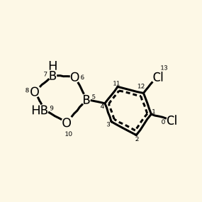 Clc1ccc(B2OBOBO2)cc1Cl